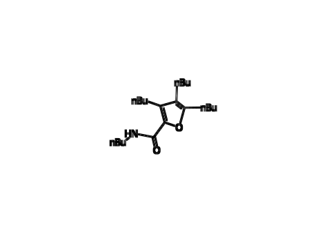 CCCCNC(=O)c1oc(CCCC)c(CCCC)c1CCCC